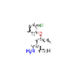 CC(C[C@H](CN)CC(=O)O)Oc1ccccc1Cl